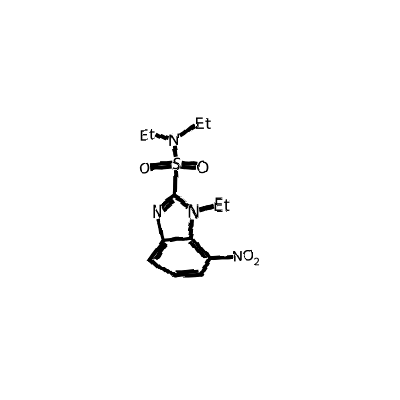 CCN(CC)S(=O)(=O)c1nc2cccc([N+](=O)[O-])c2n1CC